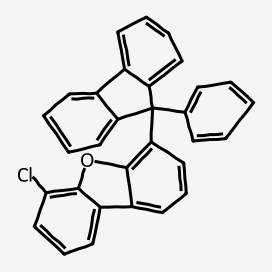 Clc1cccc2c1oc1c(C3(c4ccccc4)c4ccccc4-c4ccccc43)cccc12